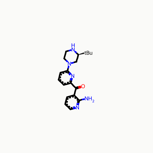 CC(C)(C)[C@H]1CN(c2cccc(C(=O)c3cccnc3N)n2)CCN1